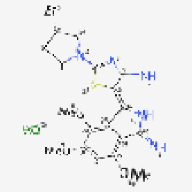 CCC1CCN(C2=NC(=N)/C(=C3\NC(=N)c4c(OC)cc(OC)c(OC)c43)S2)C1.Cl